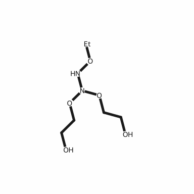 CCONN(OCCO)OCCO